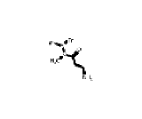 CC(C)N(C(C)C)N(C)C(=O)CCN